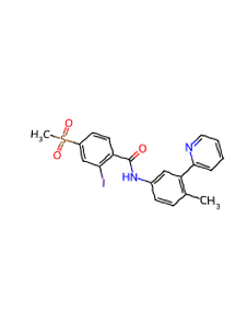 Cc1ccc(NC(=O)c2ccc(S(C)(=O)=O)cc2I)cc1-c1ccccn1